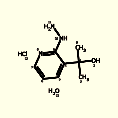 CC(C)(O)c1cccnc1NN.Cl.O